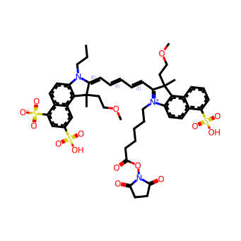 CCCN1/C(=C/C=C/C=C/C2=[N+](CCCCCC(=O)ON3C(=O)CCC3=O)c3ccc4c(S(=O)(=O)O)cccc4c3C2(C)CCOC)C(C)(CCOC)c2c1ccc1c(S(=O)(=O)[O-])cc(S(=O)(=O)O)cc21